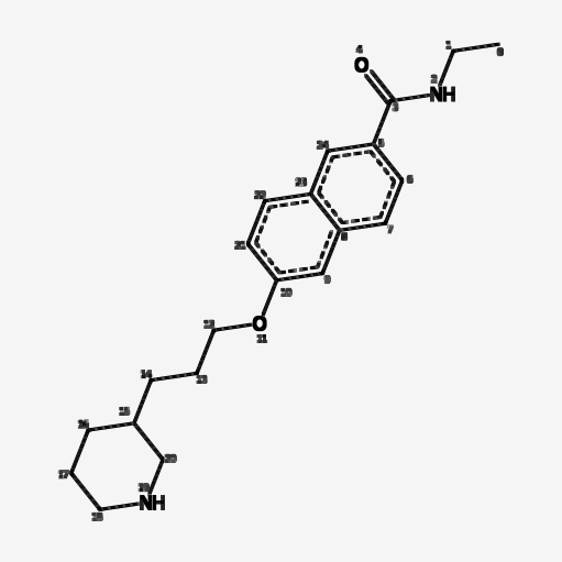 CCNC(=O)c1ccc2cc(OCCCC3CCCNC3)ccc2c1